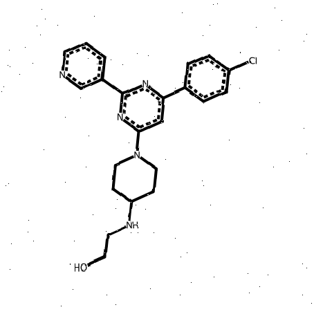 OCCNC1CCN(c2cc(-c3ccc(Cl)cc3)nc(-c3cccnc3)n2)CC1